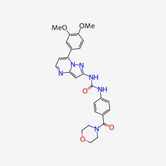 COc1ccc(-c2ccnc3cc(NC(=O)Nc4ccc(C(=O)N5CCOCC5)cc4)nn23)cc1OC